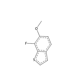 COc1ccc2ccsc2c1F